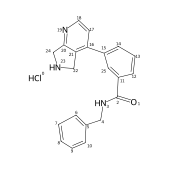 Cl.O=C(NCc1ccccc1)c1cccc(-c2ccnc3c2CNC3)c1